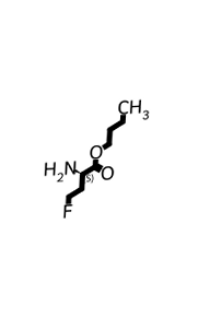 CCCCOC(=O)[C@@H](N)CCF